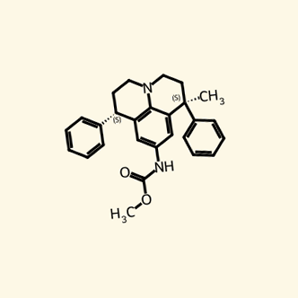 COC(=O)Nc1cc2c3c(c1)[C@](C)(c1ccccc1)CCN3CC[C@H]2c1ccccc1